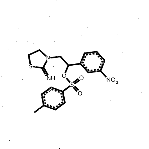 Cc1ccc(S(=O)(=O)OC(CN2CCSC2=N)c2cccc([N+](=O)[O-])c2)cc1